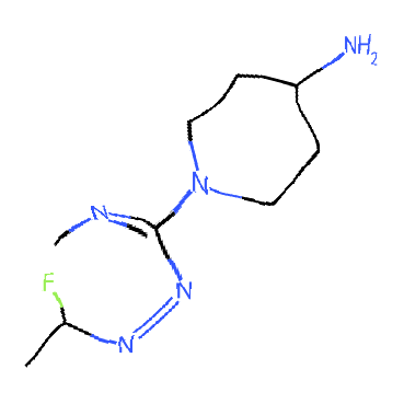 C/N=C(\N=N/C(C)F)N1CCC(N)CC1